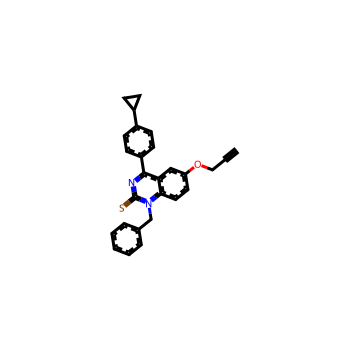 C#CCOc1ccc2c(c1)c(-c1ccc(C3CC3)cc1)nc(=S)n2Cc1ccccc1